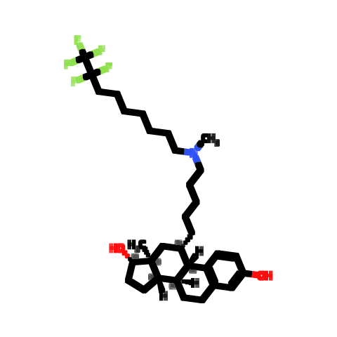 CN(CCCCCCCC(F)(F)C(F)(F)F)CCCCC[C@H]1C[C@]2(C)[C@@H](O)CC[C@H]2[C@@H]2CCc3cc(O)ccc3[C@@H]12